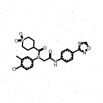 Cc1cc(N(CC(=O)Nc2ccc(-c3ncon3)cc2)C(=O)C2CCS(=O)(=O)CC2)ccc1Cl